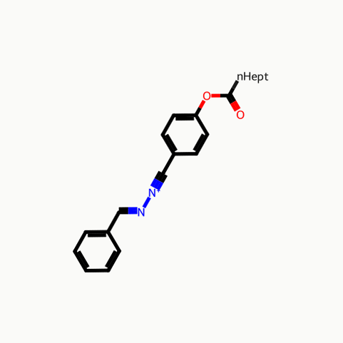 CCCCCCCC(=O)Oc1ccc(C#[N+]N=Cc2ccccc2)cc1